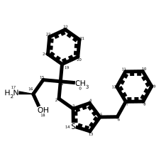 CC(Cc1cc(Cc2ccccc2)cs1)(C[C@H](N)O)c1ccccc1